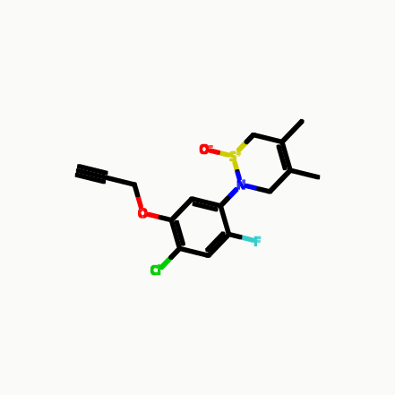 C#CCOc1cc(N2CC(C)=C(C)C[S+]2[O-])c(F)cc1Cl